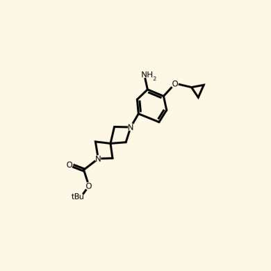 CC(C)(C)OC(=O)N1CC2(C1)CN(c1ccc(OC3CC3)c(N)c1)C2